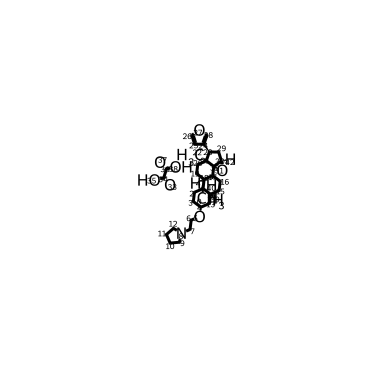 C[C@]12CC[C@H](OCCN3CCCC3)C[C@H]1CC[C@@H]1[C@@H]2CC[C@]2(C)[C@@H](c3ccoc3)C[C@H]3O[C@]132.O=C(O)C(=O)O